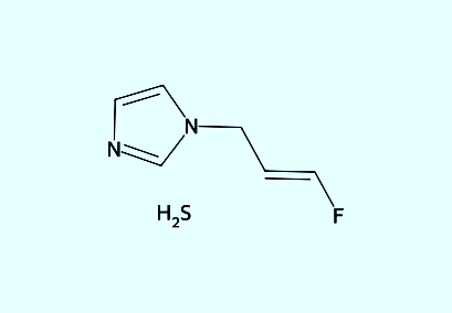 FC=CCn1ccnc1.S